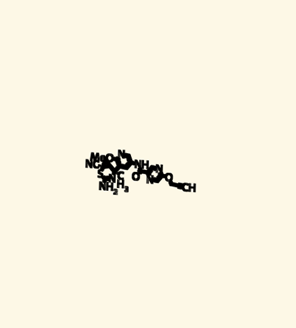 C#CCOc1cnc(C(=O)Nc2cnc(OC)c([C@@]3(C)N=C(N)S[C@@]4(C#N)CC43)c2)cn1